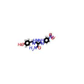 NC(=O)c1c(Nc2ccc([N+](=O)[O-])cc2)n[nH]c1N=Cc1ccc(O)cc1